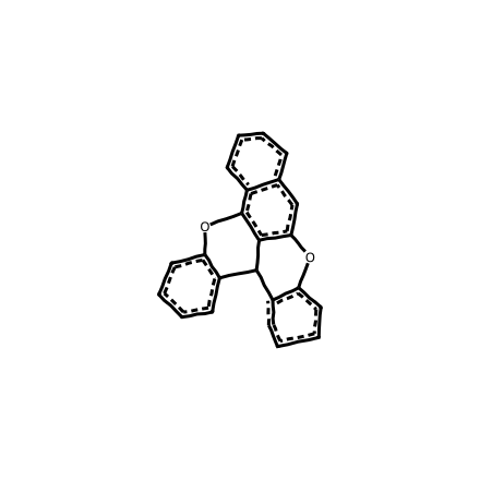 c1ccc2c(c1)Oc1cc3ccccc3c3c1C2c1ccccc1O3